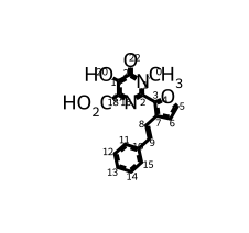 Cn1c(-c2occc2/C=C/c2ccccc2)nc(C(=O)O)c(O)c1=O